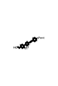 CCCCCc1ccc(C#Cc2ccc(-c3ccc(CCO)cc3CC)c(CC)c2)cc1